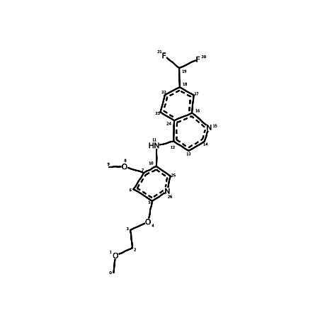 COCCOc1cc(OC)c(Nc2ccnc3cc(C(F)F)ccc23)cn1